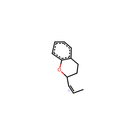 C/C=C\C1CCc2ccccc2O1